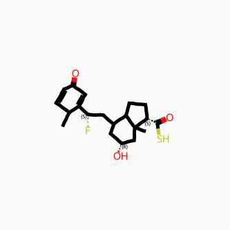 CC1C=CC(=O)C=C1[C@@H](F)CC1C[C@@H](O)CC2(C)C1CC[C@@H]2C(=O)S